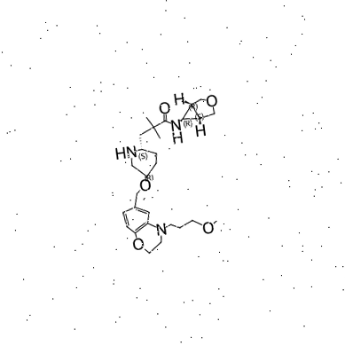 COCCCN1CCOc2ccc(CO[C@@H]3CC[C@@H](CC(C)(C)C(=O)N[C@H]4[C@@H]5COC[C@@H]54)NC3)cc21